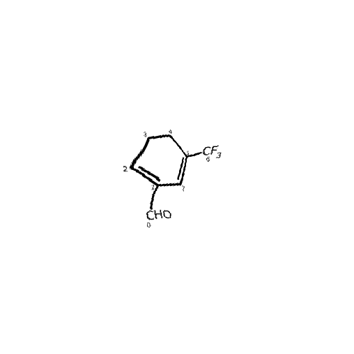 O=CC1=CCCC(C(F)(F)F)=C1